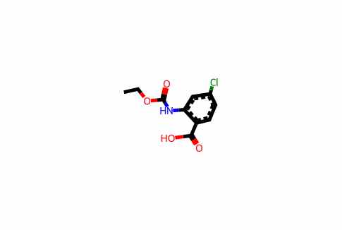 CCOC(=O)Nc1cc(Cl)ccc1C(=O)O